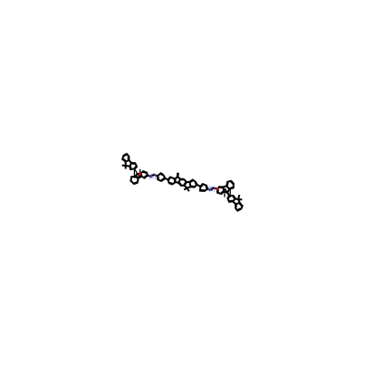 C=C1c2cc(-c3ccc(/C=C/c4ccc5c(c4)c4c(n5-c5ccc6c(c5)C(C)(C)c5ccccc5-6)CCC=C4)cc3)ccc2-c2cc3c(cc21)-c1ccc(-c2ccc(/C=C/c4ccc5c(c4)c4ccccc4n5-c4ccc5c(c4)C(C)(C)c4ccccc4-5)cc2)cc1C3(C)C